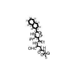 CCC(NC(C=O)CC(=O)NS(C)(=O)=O)C(=O)[C@@H](NC(=O)c1ccc2ccccc2c1)C(C)C